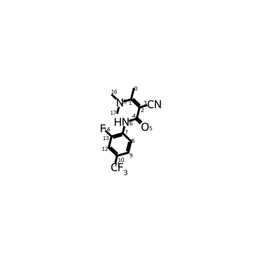 CC(=C(C#N)C(=O)Nc1ccc(C(F)(F)F)cc1F)N(C)C